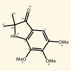 COc1cc2c(c(OC)c1OC)NC(C)(C)C2=O